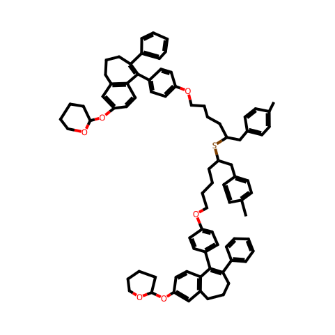 Cc1ccc(CC(CCCCOc2ccc(C3=C(c4ccccc4)CCCc4cc(OC5CCCCO5)ccc43)cc2)SC(CCCCOc2ccc(C3=C(c4ccccc4)CCCc4cc(OC5CCCCO5)ccc43)cc2)Cc2ccc(C)cc2)cc1